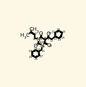 CC(C)=CCN1C(=O)C(C(=O)Cc2ccccc2)C(=O)N(Cc2ccccc2)C1=O